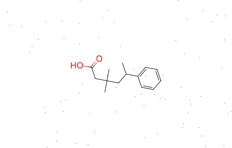 CC(CC(C)(C)CC(=O)O)c1ccccc1